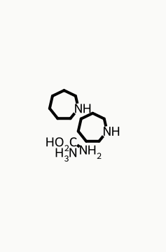 C1CCCNCC1.C1CCCNCC1.N.NC(=O)O